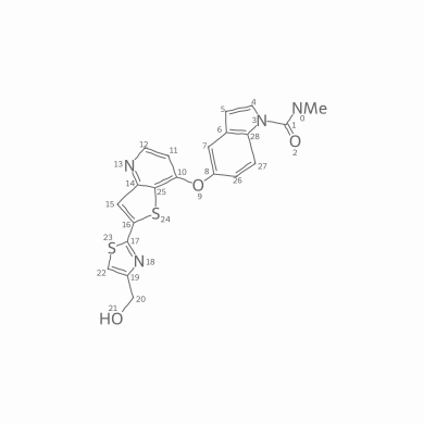 CNC(=O)n1ccc2cc(Oc3ccnc4cc(-c5nc(CO)cs5)sc34)ccc21